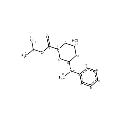 Cl.O=C(OC(C(F)(F)F)C(F)(F)F)N1CCCC(N(c2ccccn2)C(F)(F)F)C1